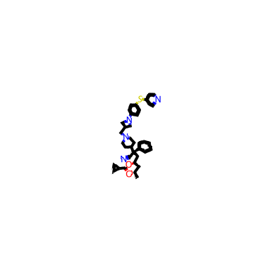 CCCC(CC(C#N)(c1ccccc1)C1CCN(CC2CN(c3ccc(Sc4ccncc4)cc3)C2)CC1)OC(=O)C1CC1